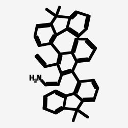 C=Cc1c(/C=C\N)c(-c2cccc3c2-c2ccccc2C3(C)C)c2ccccc2c1-c1cccc2c1-c1ccccc1C2(C)C